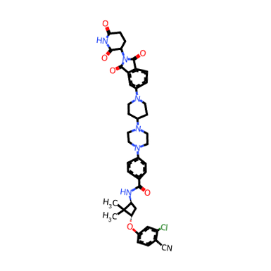 CC1(C)[C@@H](NC(=O)c2ccc(N3CCN(C4CCN(c5ccc6c(c5)C(=O)N(C5CCC(=O)NC5=O)C6=O)CC4)CC3)cc2)C[C@@H]1Oc1ccc(C#N)c(Cl)c1